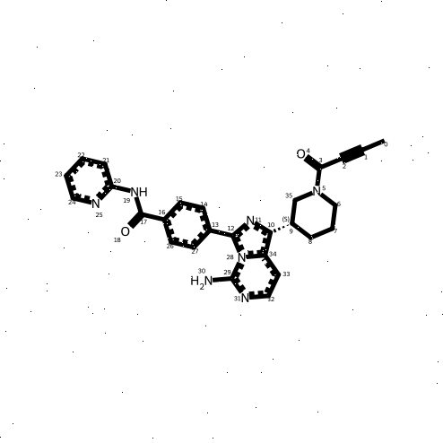 CC#CC(=O)N1CCC[C@H](c2nc(-c3ccc(C(=O)Nc4ccccn4)cc3)n3c(N)nccc23)C1